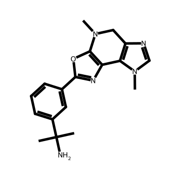 CN1Cc2ncn(C)c2-c2nc(-c3cccc(C(C)(C)N)c3)oc21